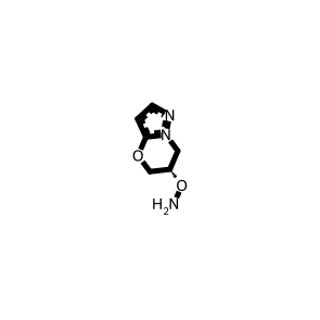 NO[C@@H]1COc2ccnn2C1